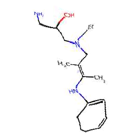 CCN(C/C(C)=C(\C)NC1=CC=CCC1)CC(O)CN